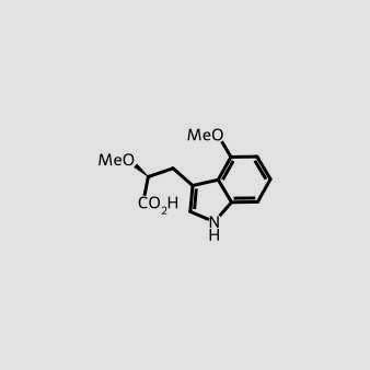 COc1cccc2[nH]cc(C[C@H](OC)C(=O)O)c12